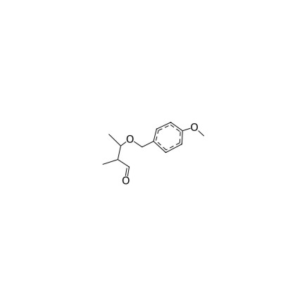 COc1ccc(COC(C)C(C)C=O)cc1